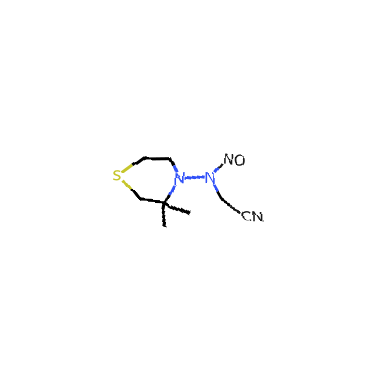 CC1(C)CSCCN1N(CC#N)N=O